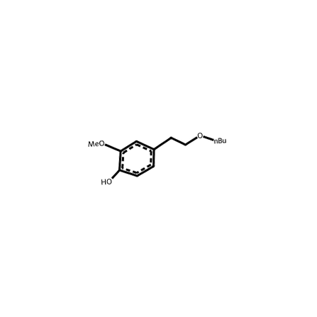 CCCCOCCc1ccc(O)c(OC)c1